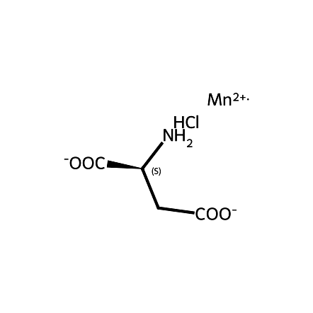 Cl.N[C@@H](CC(=O)[O-])C(=O)[O-].[Mn+2]